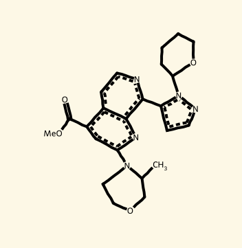 COC(=O)c1cc(N2CCOCC2C)nc2c(-c3ccnn3C3CCCCO3)nccc12